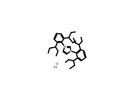 CCC(CC)c1cccc(C(CC)CC)c1-n1cc[n+](-c2c(C(CC)CC)cccc2C(CC)CC)c1.[Cl-].[Pd]